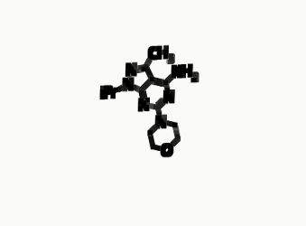 Cc1nn(C(C)C)c2nc(N3CCOCC3)nc(N)c12